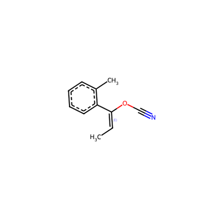 C/C=C(/OC#N)c1ccccc1C